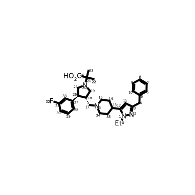 CCn1nc(Cc2ccccc2)cc1C1CCN(C[C@H]2CN(C(C)(C)C(=O)O)C[C@@H]2c2cccc(F)c2)CC1